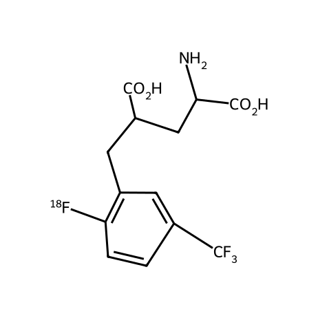 NC(CC(Cc1cc(C(F)(F)F)ccc1[18F])C(=O)O)C(=O)O